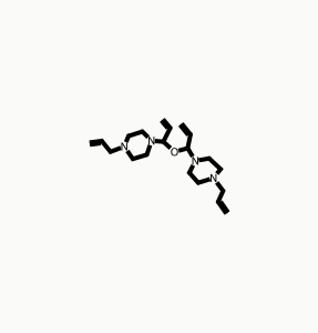 C=CCN1CCN(C(C=C)OC(C=C)N2CCN(CC=C)CC2)CC1